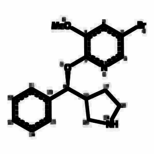 COc1cc(Br)cnc1O[C@H](c1ccccc1)C1CCNC1